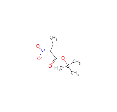 CCC(C(=O)O[Si](C)(C)C)[N+](=O)[O-]